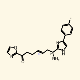 N[C@@H](C/C=C/CCC(=O)c1ncco1)c1nc(-c2ccc(F)cc2)c[nH]1